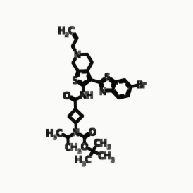 C=CCN1CCc2c(sc(NC(=O)C3CC(N(C(=O)OC(C)(C)C)C(C)C)C3)c2-c2nc3ccc(Br)cc3s2)C1